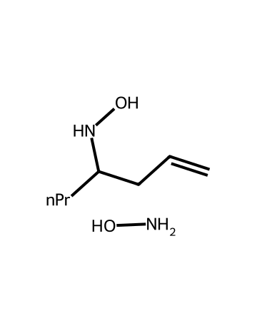 C=CCC(CCC)NO.NO